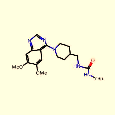 CCCCNC(=O)NCC1CCN(c2ncnc3cc(OC)c(OC)cc23)CC1